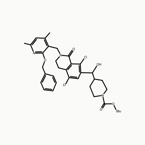 Cc1cc(C)c(CN2CCc3c(Cl)cc(C(O)C4CCN(C(=O)OC(C)(C)C)CC4)c(Cl)c3C2=O)c(OCc2ccccc2)n1